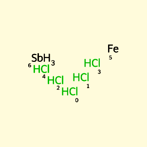 Cl.Cl.Cl.Cl.Cl.[Fe].[SbH3]